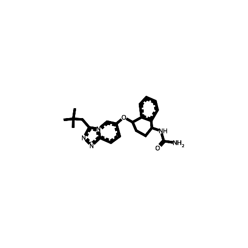 CC(C)(C)Cc1nnc2ccc(OC3CCC(NC(N)=O)c4ccccc43)cn12